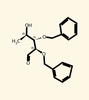 C[C@@H](O)[C@H](OCc1ccccc1)[C@H](C=O)OCc1ccccc1